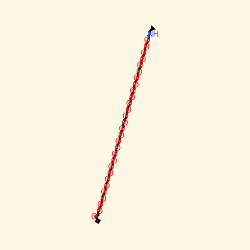 O=C(CCOCCOCCOCCOCCOCCOCCOCCOCCOCCOCCOCCOCCOCCOCCOCCOCCOCCOCCOCCOCCOCCOCCOCCOCCOCCOCCOCCOCCNCC1CC1)C1CCC1